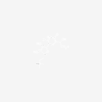 C=P(C)(C)CC[C@H]1OC(n2cc(C(O)C(=O)O)c(=O)[nH]c2=O)[C@H](O)[C@@H]1O